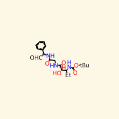 CCC(NC(=O)OC(C)(C)C)C(O)[C@H](O)NCC(=O)N[C@H](C=O)c1ccccc1